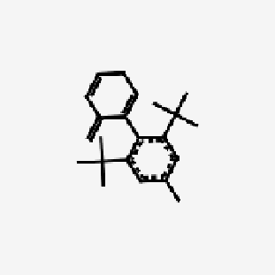 C=C1C=CCC=C1c1c(C(C)(C)C)cc(C)cc1C(C)(C)C